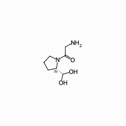 NCC(=O)N1CCC[C@H]1C(O)O